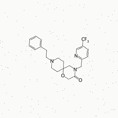 O=C1COC2(CCN(CCc3ccccc3)CC2)CN1Cc1ccc(C(F)(F)F)cn1